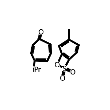 CC(C)c1cccc(=O)cc1.Cc1ccc2c(c1)OS2(=O)=O